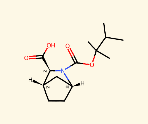 CC(C)C(C)(C)OC(=O)N1[C@@H]2CC[C@@H](C2)[C@H]1C(=O)O